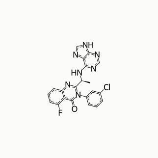 C[C@H](Nc1ncnc2[nH]cnc12)c1nc2cccc(F)c2c(=O)n1-c1cccc(Cl)c1